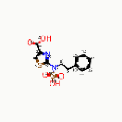 O=C(O)c1csc(N(CCc2ccccc2)S(=O)(=O)O)n1